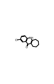 O=c1c2c([nH]c3ccc(Cl)cc13)CCCCC2